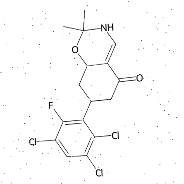 CC1(C)NC=C2C(=O)CC(c3c(F)c(Cl)cc(Cl)c3Cl)CC2O1